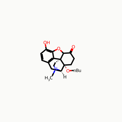 CCCCO[C@@]12CCC(=O)C3Oc4c(O)ccc5c4[C@@]31CCN(C)[C@@H]2C5